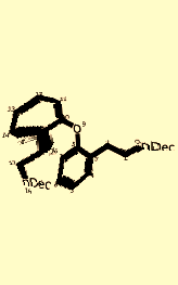 CCCCCCCCCCCCc1ccccc1Oc1ccccc1CCCCCCCCCCCC